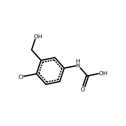 O=C(O)Nc1ccc(Cl)c(CO)c1